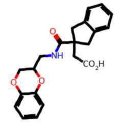 O=C(O)CC1(C(=O)NCC2COc3ccccc3O2)Cc2ccccc2C1